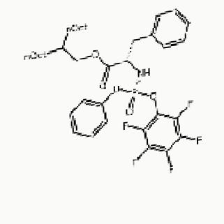 CCCCCCCCC(CCCCCCCC)COC(=O)[C@H](Cc1ccccc1)N[P@](=O)(Oc1ccccc1)Oc1c(F)c(F)c(F)c(F)c1F